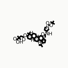 C=C(C)[C@@H]1CC[C@]2(CC(=O)N[C@H]3CCN(C(=O)OC(C)(C)C)C3)CC[C@]3(C)[C@H](CC[C@@H]4[C@@]5(C)CC[C@H](OC(=O)CC(C)(C)C(=O)O)C(C)(C)[C@@H]5CC[C@]43C)[C@@H]12